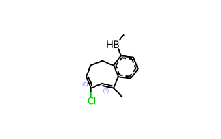 CBc1cccc2c1CC/C=C(Cl)\C=C\2C